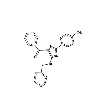 Cc1ccc(-c2nc(NCc3ccccc3)n(C(=O)c3ccccc3)n2)cc1